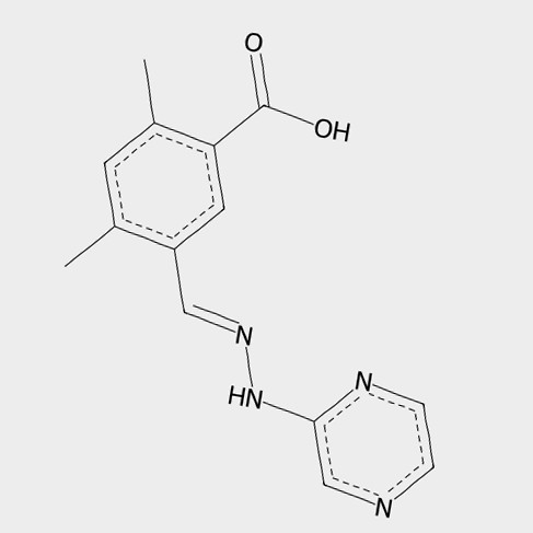 Cc1cc(C)c(C(=O)O)cc1/C=N/Nc1cnccn1